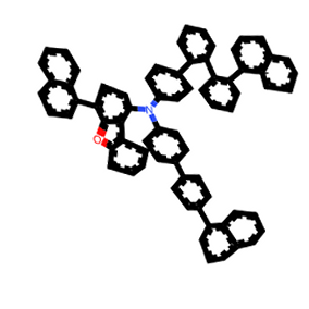 c1ccc(-c2ccccc2-c2cccc3ccccc23)c(-c2ccc(N(c3ccc(-c4ccc(-c5cccc6ccccc56)cc4)cc3)c3ccc(-c4cccc5ccccc45)c4oc5ccccc5c34)cc2)c1